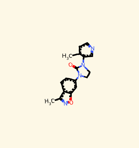 Cc1ccncc1N1CCN(c2ccc3c(C)noc3c2)C1=O